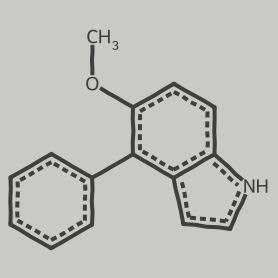 COc1ccc2[nH]ccc2c1-c1ccccc1